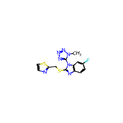 Cn1nnnc1-n1c(SCc2nccs2)nc2ccc(F)cc21